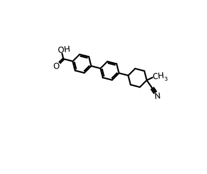 CC1(C#N)CCC(c2ccc(-c3ccc(C(=O)O)cc3)cc2)CC1